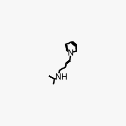 CC(C)NCC/C=C/N1C=CC#CC1